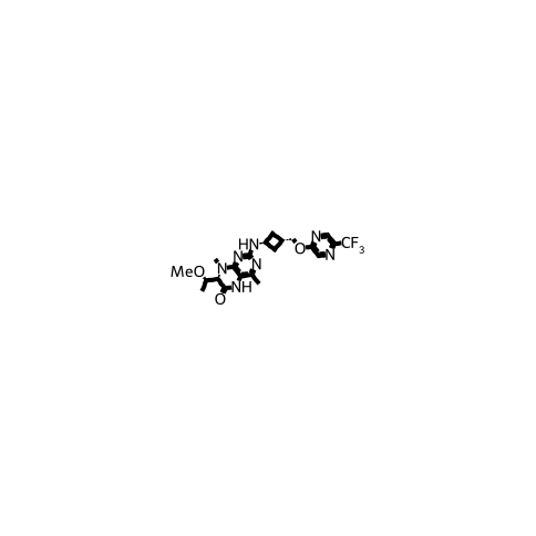 CO[C@H](C)[C@H]1C(=O)Nc2c(C)nc(N[C@H]3C[C@@H](COc4cnc(C(F)(F)F)cn4)C3)nc2N1C